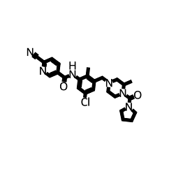 Cc1c(CN2CCN(C(=O)N3CCCC3)C(C)C2)cc(Cl)cc1NC(=O)c1ccc(C#N)nc1